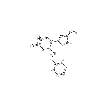 Cn1cc(-c2c[nH]c(=O)cc2NCc2ncccn2)cn1